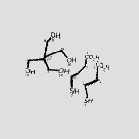 O=C(O)CCS.O=C(O)CCS.OCC(CO)(CO)CO